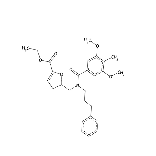 CCOC(=O)C1=CCC(CN(CCCc2ccccc2)C(=O)c2cc(OC)c(C)c(OC)c2)O1